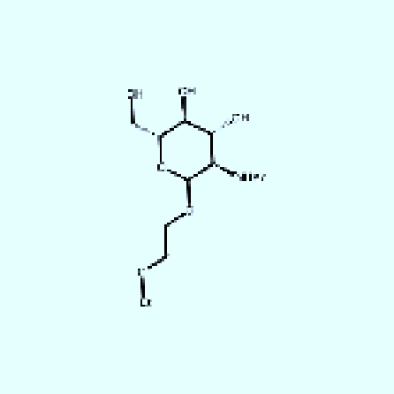 CCOCCOC1O[C@H](CO)[C@@H](O)[C@H](O)[C@H]1NC(C)=O